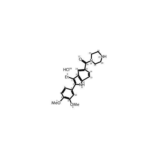 CCc1c(-c2ccc(OC)c(OC)c2)[nH]c2ccc(C(=O)N3CCNCC3)cc12.Cl